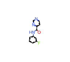 O=C(Nc1cccc(F)c1)c1ccncn1